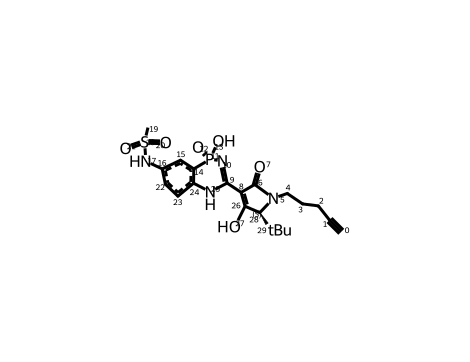 C#CCCCN1C(=O)C(C2=NP(=O)(O)c3cc(NS(C)(=O)=O)ccc3N2)=C(O)[C@@H]1C(C)(C)C